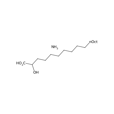 CCCCCCCCCCCCCCCCC(O)C(=O)O.N